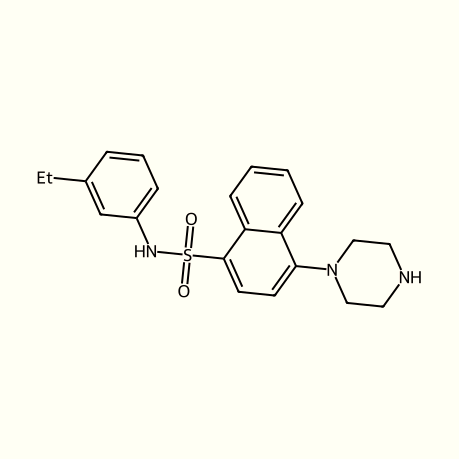 CCc1cccc(NS(=O)(=O)c2ccc(N3CCNCC3)c3ccccc23)c1